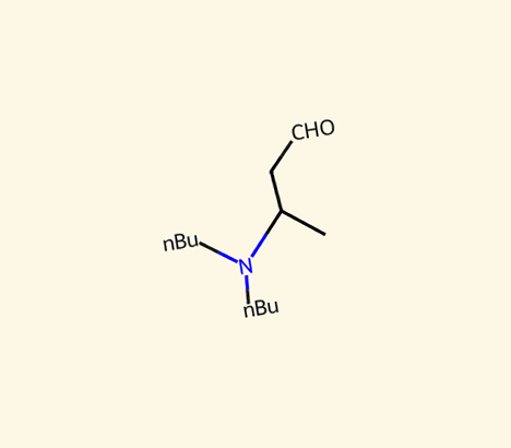 CCCCN(CCCC)C(C)CC=O